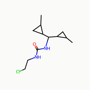 CC1CC1C(NC(=O)NCCCl)C1CC1C